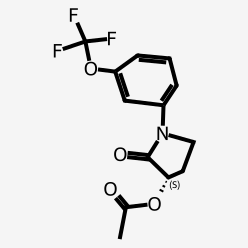 CC(=O)O[C@H]1CCN(c2cccc(OC(F)(F)F)c2)C1=O